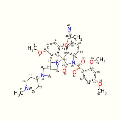 CCOc1ccc(OC)cc1C1(N2CC3(CN(C4CCN(C)CC4)C3)C2)C(=O)N(S(=O)(=O)c2ccc(OC)cc2OC)c2ccc(C#N)cc21